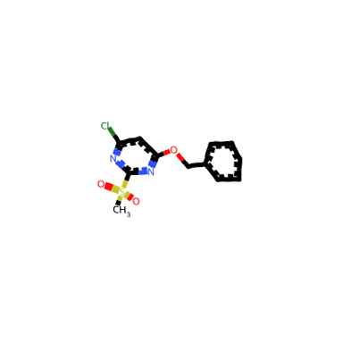 CS(=O)(=O)c1nc(Cl)cc(OCc2ccccc2)n1